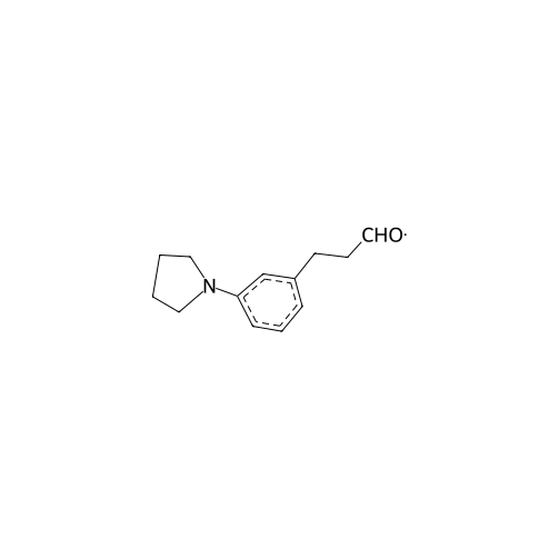 O=[C]CCc1cccc(N2CCCC2)c1